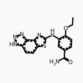 CCOc1ccc(C(N)=O)cc1Nc1nc2c(ccc3[nH]nnc32)s1